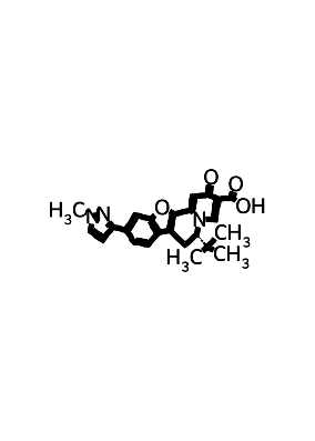 Cn1ccc(-c2ccc3c4c(oc3c2)-c2cc(=O)c(C(=O)O)cn2[C@H](C(C)(C)C)C4)n1